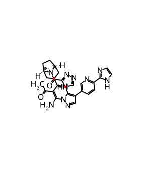 CC(=O)c1c(C2C[C@H]3CC[C@@H](C2)N3C(=O)c2nnc[nH]2)nc2c(-c3ccc(-c4ncc[nH]4)nc3)cnn2c1N